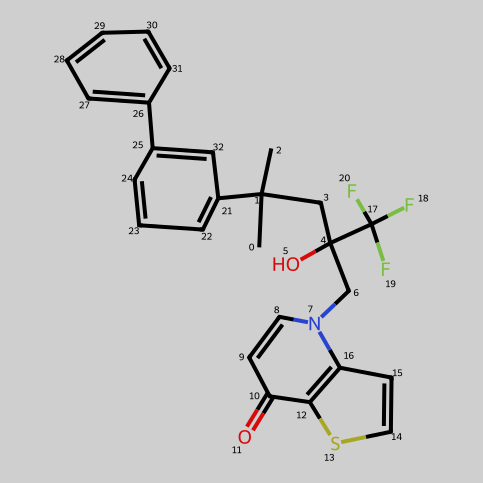 CC(C)(CC(O)(Cn1ccc(=O)c2sccc21)C(F)(F)F)c1cccc(-c2ccccc2)c1